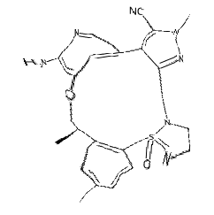 Cc1ccc2c(c1)[C@@H](C)Oc1cc(cnc1N)-c1c(nn(C)c1C#N)CN1CCN=S21=O